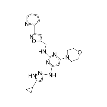 c1ccc(-c2cc(CNc3nc(Nc4cc(C5CC5)[nH]n4)cc(N4CCOCC4)n3)on2)nc1